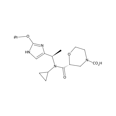 CC(C)Oc1nc([C@@H](C)N(C(=O)[C@H]2CN(C(=O)O)CCO2)C2CC2)c[nH]1